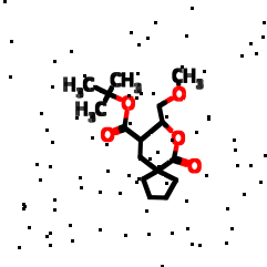 COCC1OC(=O)C2(CCCC2)CC1C(=O)OC(C)(C)C